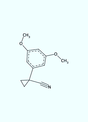 COc1cc(OC)cc(C2(C#N)CC2)c1